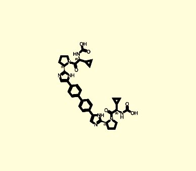 O=C(O)N[C@@H](C(=O)N1CCC[C@H]1c1ncc(-c2ccc(-c3ccc(-c4cnc([C@@H]5CCCN5C(=O)[C@H](NC(=O)O)C5CC5)[nH]4)cc3)cc2)[nH]1)C1CC1